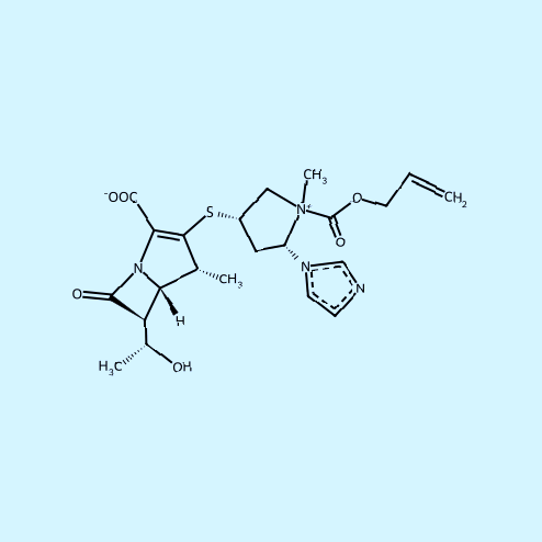 C=CCOC(=O)[N+]1(C)C[C@@H](SC2=C(C(=O)[O-])N3C(=O)[C@H]([C@@H](C)O)[C@H]3[C@H]2C)C[C@H]1n1ccnc1